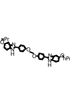 CCCOc1ccc2[nH]c(-c3ccc(OCCOc4ccc(-c5nc6cc(OCCC)ccc6[nH]5)cc4)cc3)nc2c1